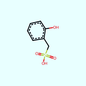 O=S(=O)(O)Cc1ccccc1O